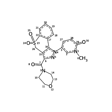 Cn1cc(-n2nc(C(=O)N3CCOCC3)c3c2-c2ccccc2S(=O)(=O)C3)ccc1=O